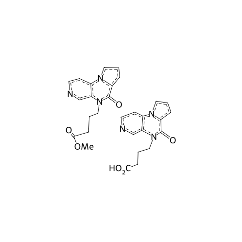 COC(=O)CCCn1c(=O)c2cccn2c2ccncc21.O=C(O)CCCn1c(=O)c2cccn2c2ccncc21